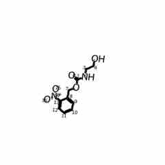 O=C(NCCO)OCc1ccccc1[N+](=O)[O-]